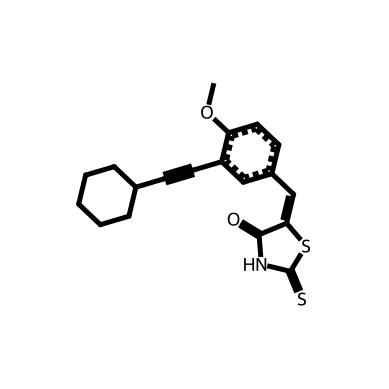 COc1ccc(/C=C2/SC(=S)NC2=O)cc1C#CC1CCCCC1